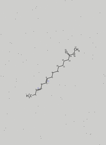 CC/C=C/C/C=C/CCCCCCCC(=O)OC